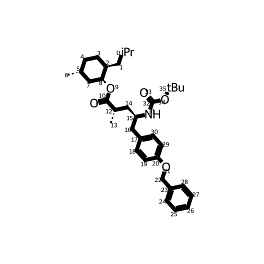 CC(C)C[C@@H]1CC[C@@H](C)C[C@H]1OC(=O)[C@@H](C)C[C@H](Cc1ccc(OCc2ccccc2)cc1)NC(=O)OC(C)(C)C